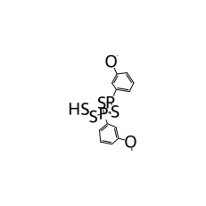 COc1cccc(P2S[P](SS)(c3cccc(OC)c3)S2)c1